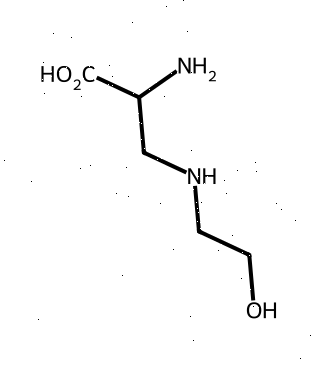 NC(CNCCO)C(=O)O